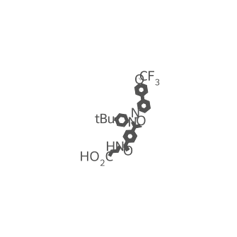 CC(C)(C)C1CCC(N2C(=Nc3cccc(-c4ccc(OC(F)(F)F)cc4)c3)OCC2c2ccc(C(=O)NCCC(=O)O)cc2)CC1